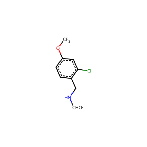 O=[C]NCc1ccc(OC(F)(F)F)cc1Cl